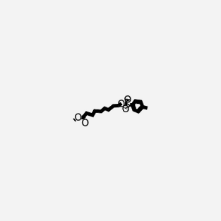 COC(=O)CCCCCCCCOS(=O)(=O)c1ccc(C)cc1